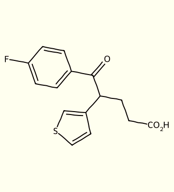 O=C(O)CCC(C(=O)c1ccc(F)cc1)c1ccsc1